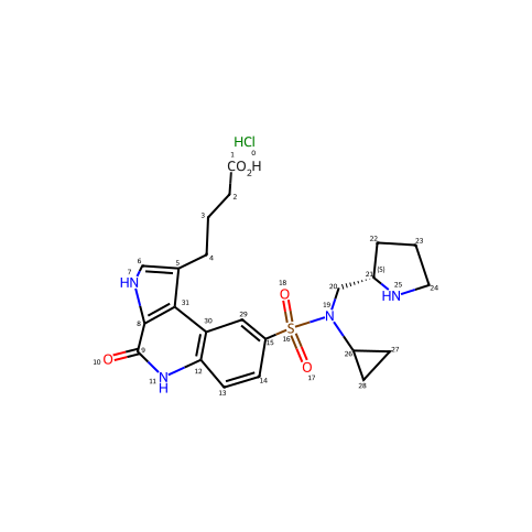 Cl.O=C(O)CCCc1c[nH]c2c(=O)[nH]c3ccc(S(=O)(=O)N(C[C@@H]4CCCN4)C4CC4)cc3c12